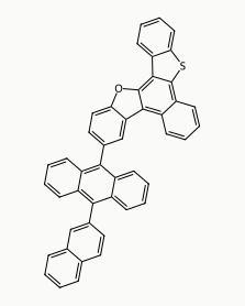 c1ccc2cc(-c3c4ccccc4c(-c4ccc5oc6c(c5c4)c4ccccc4c4sc5ccccc5c64)c4ccccc34)ccc2c1